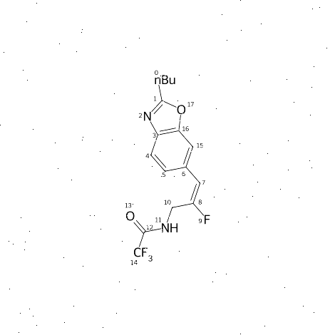 CCCCc1nc2ccc(/C=C(/F)CNC(=O)C(F)(F)F)cc2o1